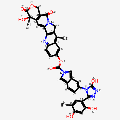 CCc1c2c(nc3ccc(OC(=O)n4cc5ccc(-n6c(O)nnc6-c6cc(C(C)C)c(O)cc6O)cc5c4)cc13)-c1cc3c(c(=O)n1C2)COC(=O)C3(O)CC